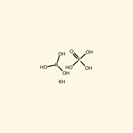 O=P(O)(O)O.OB(O)O.[KH]